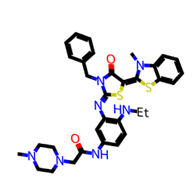 CCNc1ccc(NC(=O)CN2CCN(C)CC2)cc1/N=C1\S/C(=C2\Sc3ccccc3N2C)C(=O)N1Cc1ccccc1